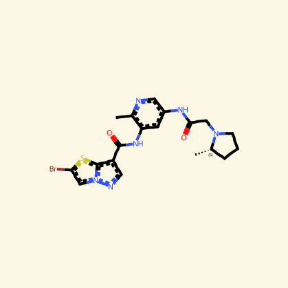 Cc1ncc(NC(=O)CN2CCC[C@@H]2C)cc1NC(=O)c1cnn2cc(Br)sc12